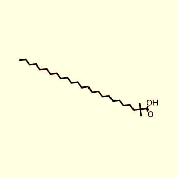 CCCCCCCCCCCCCCCCCCCCCCCC(C)(C)C(=O)O